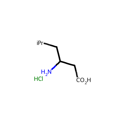 CC(C)CC(N)CC(=O)O.Cl